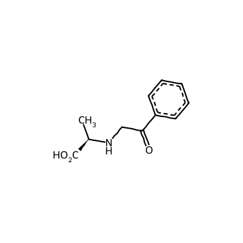 C[C@@H](NCC(=O)c1ccccc1)C(=O)O